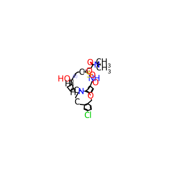 CN(C)C(=O)CC[C@H]1CC/C=C/[C@H](O)[C@@H]2CC[C@H]2CN2CCCCc3cc(Cl)ccc3COc3ccc(cc32)C(=O)NS1(=O)=O